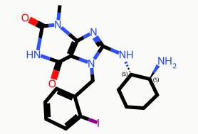 Cn1c(=O)[nH]c(=O)c2c1nc(N[C@H]1CCCC[C@@H]1N)n2Cc1ccccc1I